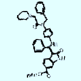 COC(=O)c1ccc2c(c1)NC(=O)/C2=C(\Nc1ccc(N(Cc2ccccc2)C(=O)CN2CCCCC2)cc1)c1ccccc1